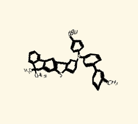 Cc1cccc(-c2cccc(N(c3ccc(C(C)(C)C)cc3)c3ccc4sc5cc6c(cc5c4c3)-c3ccccc3C6(C)C)c2)c1